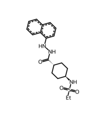 CCS(=O)(=O)N[C@H]1CC[C@H](C(=O)NNc2cccc3ccccc23)CC1